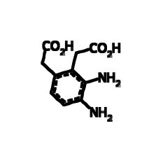 Nc1ccc(CC(=O)O)c(CC(=O)O)c1N